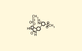 CCOC(=O)Oc1c[nH]c2c(=O)[nH]c3ccc(-c4cc(S(C)(=O)=O)ccc4N)cc3c12